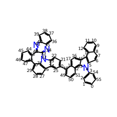 c1ccc(-n2c3ccc4ccccc4c3c3ccc4c(-c5ccc6c(c5)c5cccc7c5n6-c5nc6ccccc6nc5-c5ccccc5-7)cccc4c32)cc1